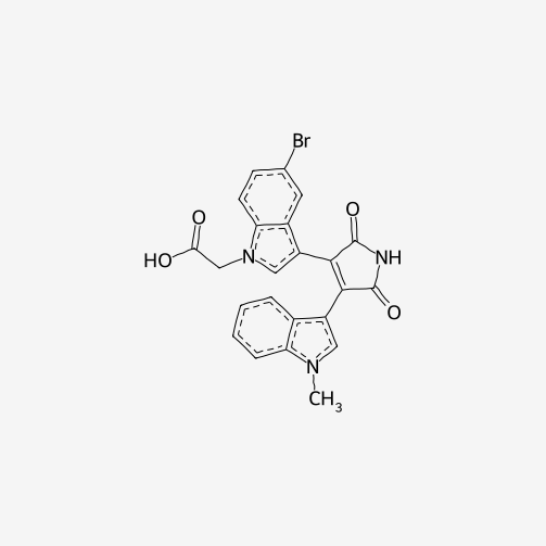 Cn1cc(C2=C(c3cn(CC(=O)O)c4ccc(Br)cc34)C(=O)NC2=O)c2ccccc21